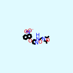 CC1CN(CC(=O)Nc2cc(Oc3ccc([N+](=O)[O-])c4ccccc34)ccn2)CC(C)O1